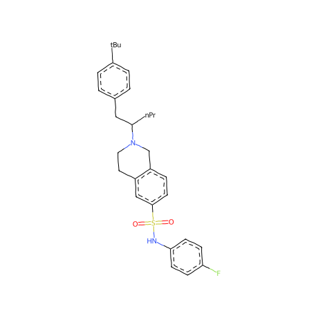 CCCC(Cc1ccc(C(C)(C)C)cc1)N1CCc2cc(S(=O)(=O)Nc3ccc(F)cc3)ccc2C1